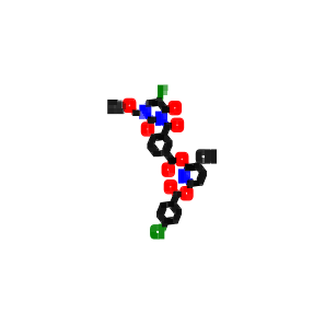 CCOCn1cc(F)c(=O)n(C(=O)c2cccc(C(=O)Oc3nc(OC(=O)c4ccc(Cl)cc4)ccc3C#N)c2)c1=O